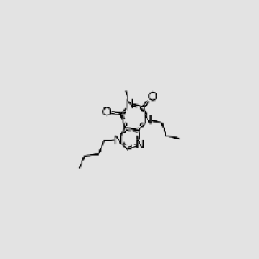 CCCCn1cnc2c1c(=O)n(C)c(=O)n2CCC